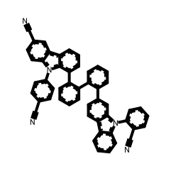 N#Cc1ccc(-n2c3ccc(C#N)cc3c3cccc(-c4ccccc4-c4ccccc4-c4ccc5c6ccccc6n(-c6ccccc6C#N)c5c4)c32)cc1